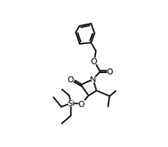 CC[Si](CC)(CC)OC1C(=O)N(C(=O)OCc2ccccc2)C1C(C)C